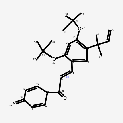 C=CC(C)(C)c1cc(/C=C/C(=O)C2C=CC(=S)C=C2)c(OC(C)(C)C)cc1OC(C)(C)C